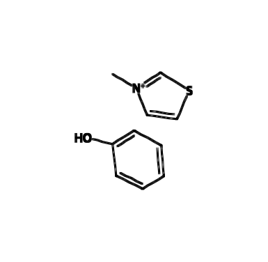 C[n+]1ccsc1.Oc1ccccc1